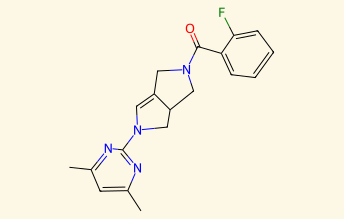 Cc1cc(C)nc(N2C=C3CN(C(=O)c4ccccc4F)CC3C2)n1